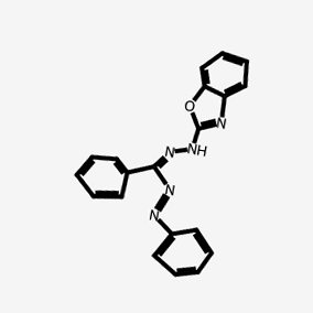 c1ccc(N=NC(=NNc2nc3ccccc3o2)c2ccccc2)cc1